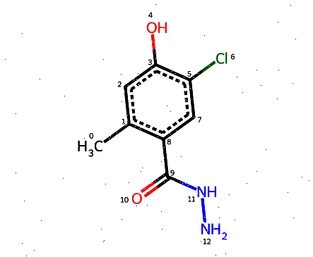 Cc1cc(O)c(Cl)cc1C(=O)NN